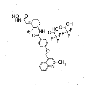 Cc1cc(COc2ccc(C(=O)NN3CCC[C@H](CC(=O)NO)C3C(C)C)cc2)c2ccccc2n1.O=C(O)C(F)(F)F.O=C(O)C(F)(F)F